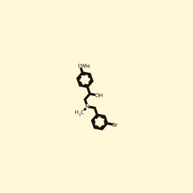 COc1ccc(C(O)CN(C)Cc2cccc(Br)c2)cc1